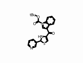 CC(C)(C)OC(=O)n1cc(C(=O)C2=CSC(c3cccnc3)N2)c2ccccc21